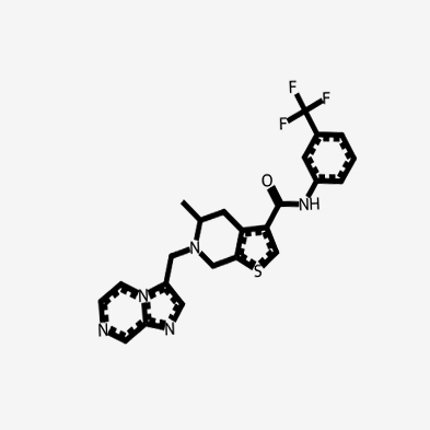 CC1Cc2c(C(=O)Nc3cccc(C(F)(F)F)c3)csc2CN1Cc1cnc2cnccn12